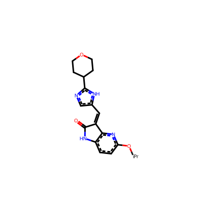 CC(C)Oc1ccc2c(n1)/C(=C/c1cnc(C3CCOCC3)[nH]1)C(=O)N2